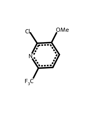 COc1ccc(C(F)(F)F)nc1Cl